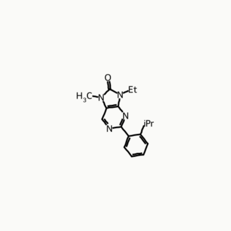 CCn1c(=O)n(C)c2cnc(-c3ccccc3C(C)C)nc21